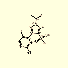 Cc1cnc(Cl)nc1-c1cn(C(C)C)nc1S(C)(=O)=O